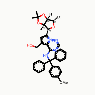 CC[C@H]1O[C@@H](c2cc(CO)c3c(NC(c4ccccc4)(c4ccccc4)c4ccc(OC)cc4)ncnn23)[C@]2(C)OC(C)(C)O[C@H]12